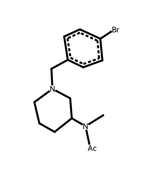 CC(=O)N(C)C1CCCN(Cc2ccc(Br)cc2)C1